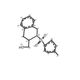 Cc1ccc(S(=O)(=O)N2Cc3ccccc3CC2CO)cc1